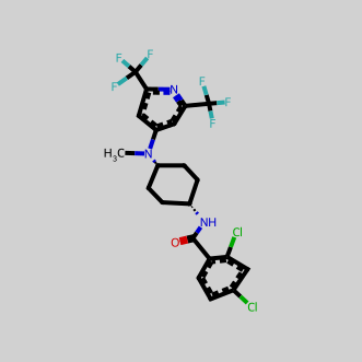 CN(c1cc(C(F)(F)F)nc(C(F)(F)F)c1)[C@H]1CC[C@@H](NC(=O)c2ccc(Cl)cc2Cl)CC1